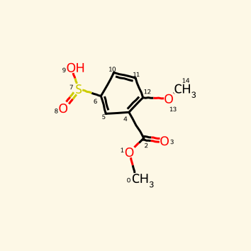 COC(=O)c1cc(S(=O)O)ccc1OC